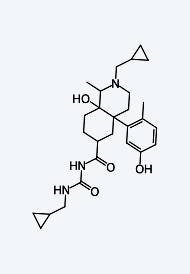 Cc1ccc(O)cc1C12CCN(CC3CC3)C(C)C1(O)CCC(C(=O)NC(=O)NCC1CC1)C2